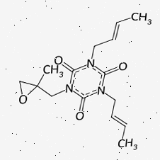 C/C=C/Cn1c(=O)n(C/C=C/C)c(=O)n(CC2(C)CO2)c1=O